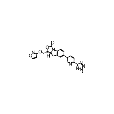 Cn1nnc(-c2ccc(-c3ccc4c(c3)C[C@H]3[C@H](COc5ccon5)OC(=O)N43)cn2)n1